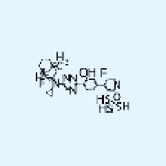 C[C@]12CCC[C@H](C1)[C@H](F)[C@H](N(c1cnc(-c3ccc(-c4cc(OC(S)(S)S)ncc4F)cc3O)nn1)C1CC1)C2